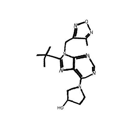 Cc1nonc1Cn1c(C(C)(C)C)nc2c(N3CCC(O)C3)ncnc21